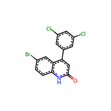 O=c1cc(-c2cc(Cl)cc(Cl)c2)c2cc(Br)ccc2[nH]1